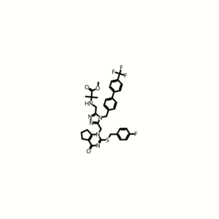 COC(=O)C(C)(C)NCc1nnc(Cn2c(SCc3ccc(F)cc3)nc(=O)c3c2CCC3)n1Cc1ccc(-c2ccc(C(F)(F)F)cc2)cc1